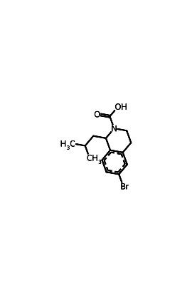 CC(C)CC1c2ccc(Br)cc2CCN1C(=O)O